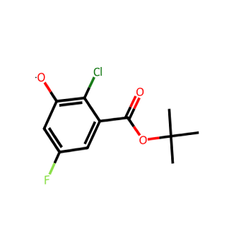 CC(C)(C)OC(=O)c1cc(F)cc([O])c1Cl